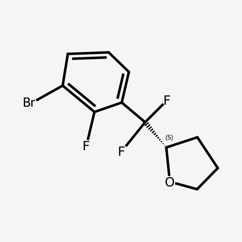 Fc1c(Br)cccc1C(F)(F)[C@@H]1CCCO1